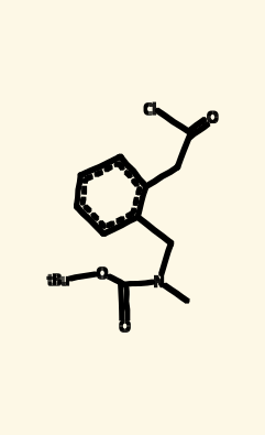 CN(Cc1ccccc1CC(=O)Cl)C(=O)OC(C)(C)C